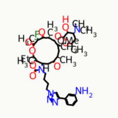 CC[C@H]1OC(=O)[C@@](C)(F)C(=O)[C@H](C)[C@@H](O[C@@H]2O[C@H](C)CC(N(C)C)C2O)[C@](C)(OC)C[C@@H](C)C(=O)C[C@H]2N(CCCCn3cc(-c4cccc(N)c4)nn3)C(=O)O[C@]12C